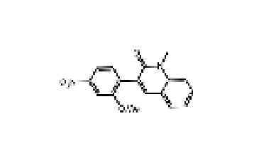 COc1cc([N+](=O)[O-])ccc1-c1cc2ccccc2n(C)c1=O